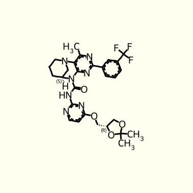 Cc1nc(-c2cccc(C(F)(F)F)c2)nc2c1N1CCC[C@@H](C1)N2C(=O)Nc1nccc(OC[C@@H]2COC(C)(C)O2)n1